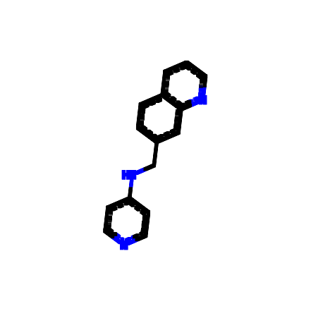 c1cnc2cc(CNc3ccncc3)ccc2c1